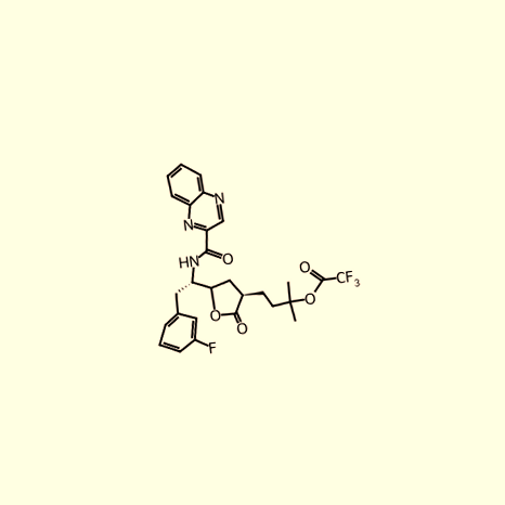 CC(C)(CC[C@@H]1CC([C@H](Cc2cccc(F)c2)NC(=O)c2cnc3ccccc3n2)OC1=O)OC(=O)C(F)(F)F